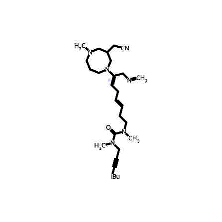 C=NC/C(=C\CC=CCCN(C)C(=O)N(C)CC#CC(C)CC)N1CCCN(C)CC(CC#N)C1